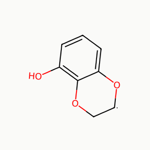 Oc1cccc2c1OC[CH]O2